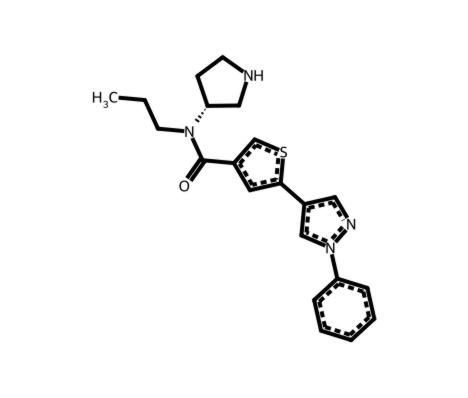 CCCN(C(=O)c1csc(-c2cnn(-c3ccccc3)c2)c1)[C@@H]1CCNC1